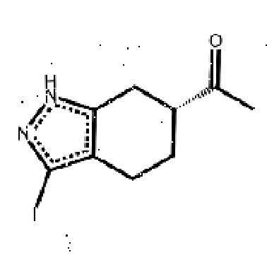 CC(=O)[C@@H]1CCc2c(I)n[nH]c2C1